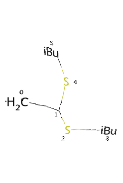 [CH2]C(SC(C)CC)SC(C)CC